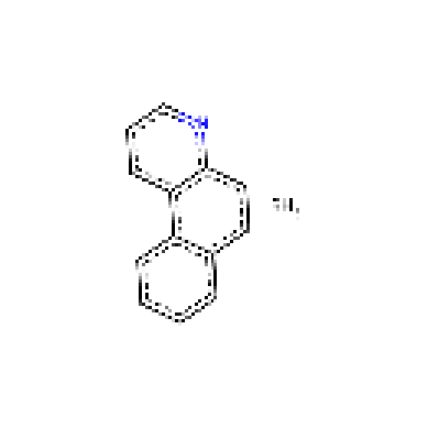 B.c1ccc2c(c1)ccc1ncccc12